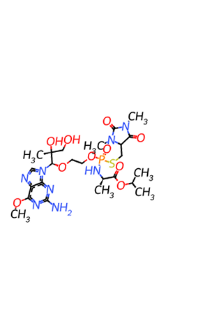 COc1nc(N)nc2c1ncn2[C@H](OCCO[P@@](=O)(N[C@H](C)C(=O)OC(C)C)SCC1C(=O)N(C)C(=O)N1C)[C@](C)(O)CO